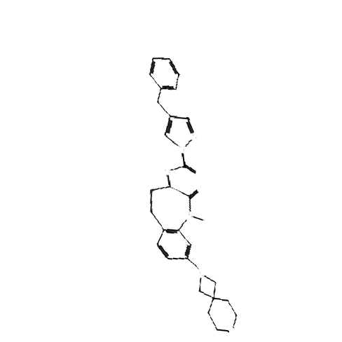 CN1C(=O)C(NC(=O)n2cc(Cc3ccccc3)cn2)CCc2ccc(N3CC4(CCOCC4)C3)cc21